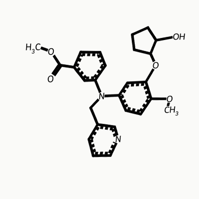 COC(=O)c1cccc(N(Cc2cccnc2)c2ccc(OC)c(OC3CCCC3O)c2)c1